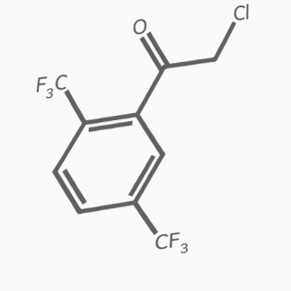 O=C(CCl)c1cc(C(F)(F)F)ccc1C(F)(F)F